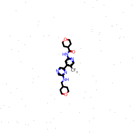 O=C(Nc1cc(-c2cncc(NCC3CCOCC3)n2)c(C(F)(F)F)cn1)C1CCOCC1